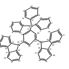 c1ccc([Si](c2ccccc2)(c2ccccc2)c2cc(-n3c4ccccc4c4ccccc43)cc(-n3c4ccccc4c4ccccc43)c2)cc1